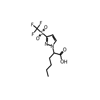 CCCCC(C(=O)O)n1ccc(S(=O)(=O)C(F)(F)F)n1